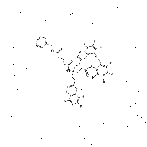 O=C(CCCC(=O)OCc1ccccc1)NC(CCC(=O)Oc1c(F)c(F)c(F)c(F)c1F)(CCC(=O)Oc1c(F)c(F)c(F)c(F)c1F)CCC(=O)Oc1c(F)c(F)c(F)c(F)c1F